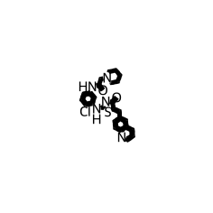 O=C(CN1CCCCC1)Nc1ccc(Cl)c(NC2=NC(=O)/C(=C/c3ccc4ncccc4c3)S2)c1